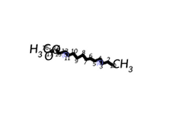 CCC/C=C/CCCCCC/C=C/COC(C)=O